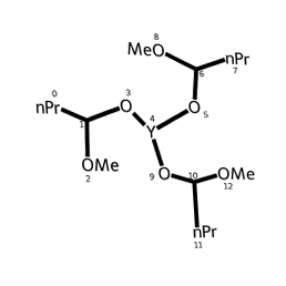 CCCC(OC)[O][Y]([O]C(CCC)OC)[O]C(CCC)OC